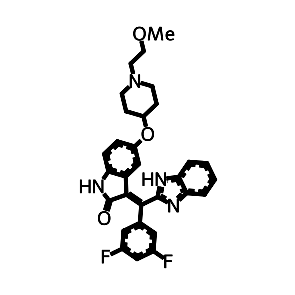 COCCN1CCC(Oc2ccc3c(c2)C(=C(c2cc(F)cc(F)c2)c2nc4ccccc4[nH]2)C(=O)N3)CC1